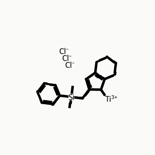 C[Si](C)(CC1=CC2=C(CCCC2)[CH]1[Ti+3])c1ccccc1.[Cl-].[Cl-].[Cl-]